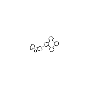 c1ccc2c(c1)-c1ccccc1-c1ccc(-c3ccc4oc5ncccc5c4c3)cc1-c1ccccc1-2